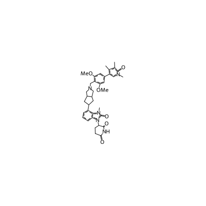 COc1cc(-c2cn(C)c(=O)c(C)c2C)cc(OC)c1CN1CC2CC(c3cccc4c3n(C)c(=O)n4C3CCC(=O)NC3=O)CC2C1